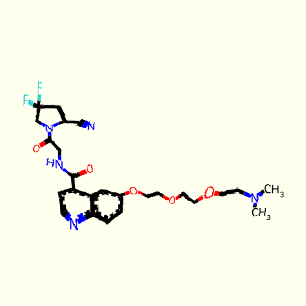 CN(C)CCOCCOCCOc1ccc2nccc(C(=O)NCC(=O)N3CC(F)(F)CC3C#N)c2c1